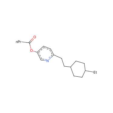 CCCC(=O)Oc1ccc(CCC2CCC(CC)CC2)nc1